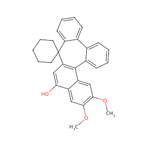 COc1cc2c(O)cc3c(c2cc1OC)-c1ccccc1-c1ccccc1C31CCCCC1